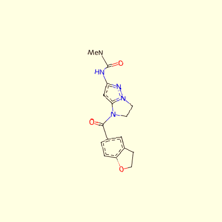 CNC(=O)Nc1cc2n(n1)CCN2C(=O)c1ccc2c(c1)CCO2